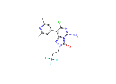 Cc1cc(-c2c(Cl)nc(N)n3c(=O)n(CCC(F)(F)F)nc23)cc(C)n1